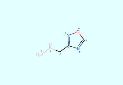 BBCc1ncon1